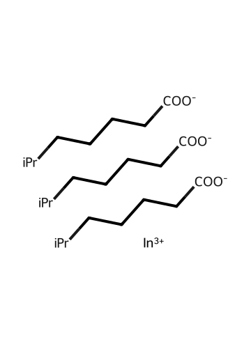 CC(C)CCCCC(=O)[O-].CC(C)CCCCC(=O)[O-].CC(C)CCCCC(=O)[O-].[In+3]